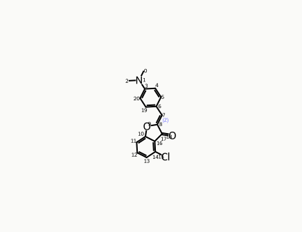 CN(C)c1ccc(/C=C2\Oc3cccc(Cl)c3C2=O)cc1